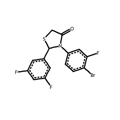 O=C1CSC(c2cc(F)cc(F)c2)N1c1ccc(Br)c(F)c1